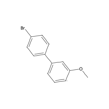 COc1[c]ccc(-c2ccc(Br)cc2)c1